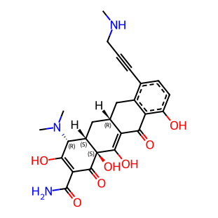 CNCC#Cc1ccc(O)c2c1C[C@H]1C[C@H]3[C@@H](N(C)C)C(O)=C(C(N)=O)C(=O)[C@@]3(O)C(O)=C1C2=O